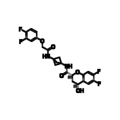 O=C(COc1ccc(F)c(F)c1)NC12CC(NC(=O)[C@H]3C[C@@H](O)c4cc(F)c(F)cc4O3)(C1)C2